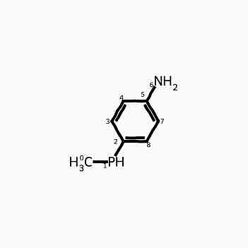 CPc1ccc(N)cc1